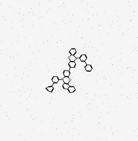 c1ccc(-c2cccc(N3c4ccccc4Oc4cc(-c5ccc6c(c5)Oc5c(ccc7ccccc57)N6c5cccc(-c6ccccc6)c5)ccc43)c2)cc1